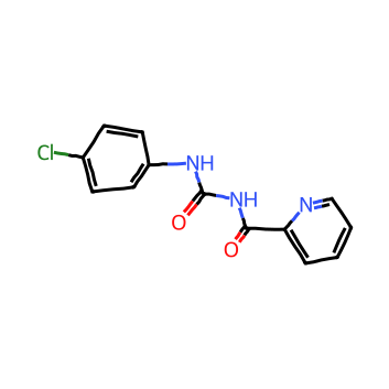 O=C(NC(=O)c1ccccn1)Nc1ccc(Cl)cc1